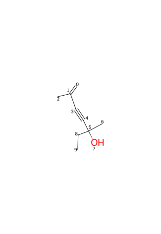 C=C(C)C#CC(C)(O)CC